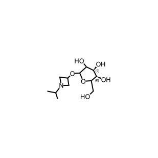 CC(C)N1CC(OC2OC(CO)[C@H](O)[C@H](O)C2O)C1